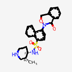 C[C@@H]1CNCC[C@@H]1NS(=O)(=O)c1ccc(N2OCc3ccccc3C2=O)c2ccccc12